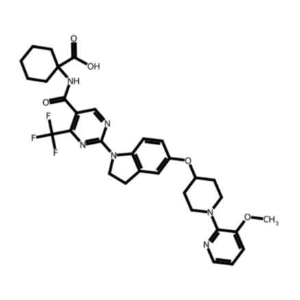 COc1cccnc1N1CCC(Oc2ccc3c(c2)CCN3c2ncc(C(=O)NC3(C(=O)O)CCCCC3)c(C(F)(F)F)n2)CC1